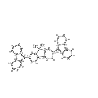 CCC1(CC)c2cc(-n3c4ccccc4c4ccccc43)ccc2-c2ccc(-n3c4ccccc4c4ccccc43)cc21